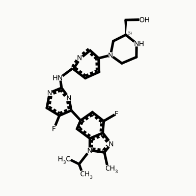 Cc1nc2c(F)cc(-c3nc(Nc4ccc(N5CCN[C@H](CO)C5)cn4)ncc3F)cc2n1C(C)C